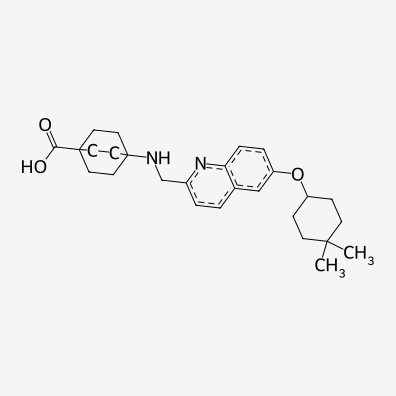 CC1(C)CCC(Oc2ccc3nc(CNC45CCC(C(=O)O)(CC4)CC5)ccc3c2)CC1